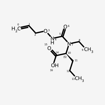 C=CCONC(=O)N(CC)[C@@H](CCC)C(=O)O